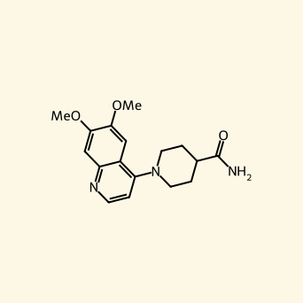 COc1cc2nccc(N3CCC(C(N)=O)CC3)c2cc1OC